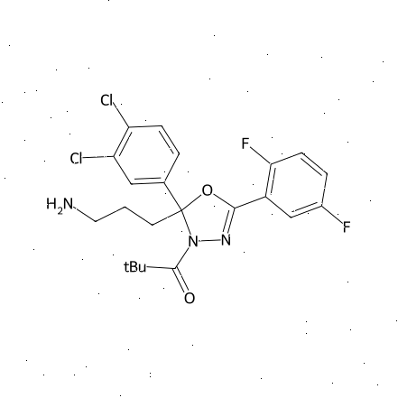 CC(C)(C)C(=O)N1N=C(c2cc(F)ccc2F)OC1(CCCN)c1ccc(Cl)c(Cl)c1